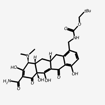 CN(C)[C@@H]1C(O)=C(C(N)=O)C(=O)[C@@]2(O)C(O)=C3C(=O)c4c(O)ccc(CNC(=O)OCC(C)(C)C)c4C[C@H]3C[C@@H]12